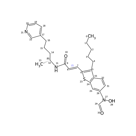 CCCCCc1c(/C=C/C(=O)N[C@H](C)CCCc2cccnc2)sc2cc(N(O)C=O)ccc12